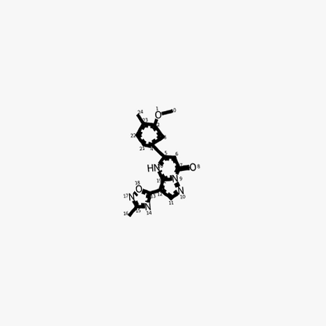 COc1cc(-c2cc(=O)n3ncc(-c4nc(C)no4)c3[nH]2)ccc1C